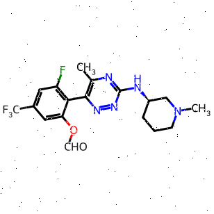 Cc1nc(N[C@@H]2CCCN(C)C2)nnc1-c1c(F)cc(C(F)(F)F)cc1OC=O